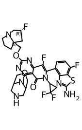 Nc1nc2c(-c3c(F)c4nc(OC[C@@]56CCCN5C[C@H](F)C6)nc(N5C6CNCC5COC6)c4c(=O)n3C3CC3(F)F)ccc(F)c2s1